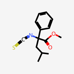 COC(=O)C(CC(C)C)(N=C=S)c1ccccc1